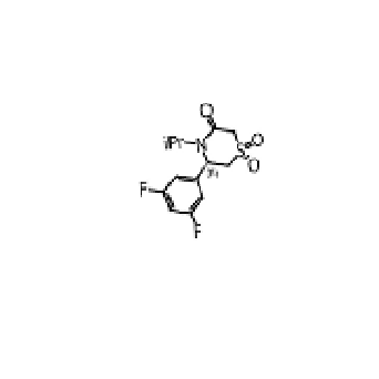 CC(C)N1C(=O)CS(=O)(=O)C[C@H]1c1cc(F)cc(F)c1